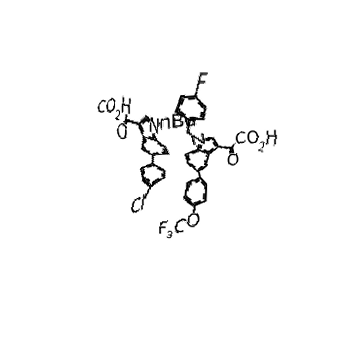 CCCCn1cc(C(=O)C(=O)O)c2cc(-c3ccc(Cl)cc3)ccc21.O=C(O)C(=O)c1cn(Cc2ccc(F)cc2)c2ccc(-c3ccc(OC(F)(F)F)cc3)cc12